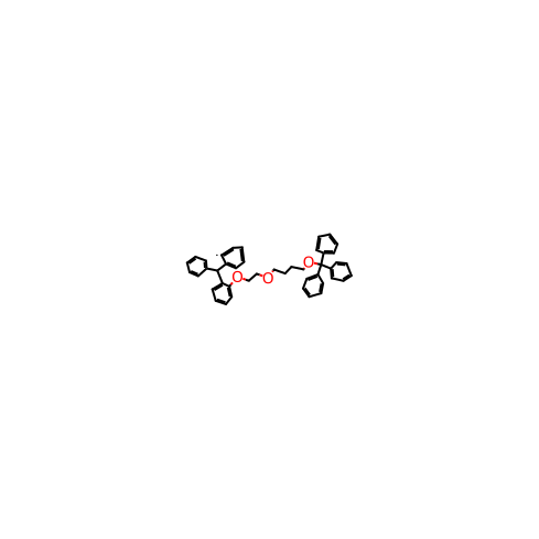 [c]1ccccc1C(c1ccccc1)c1ccccc1OCCOCCCCOC(c1ccccc1)(c1ccccc1)c1ccccc1